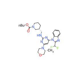 CCCCOC(=O)N1CCC[C@H](CNc2nc(N3CCOC[C@H]3C)cc(-n3c(C(F)F)nc4ccccc43)n2)C1